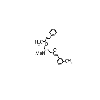 C=C(/C=C/c1ccccc1)OCC(CCC(=O)/C=C/c1cccc(C)c1)NC